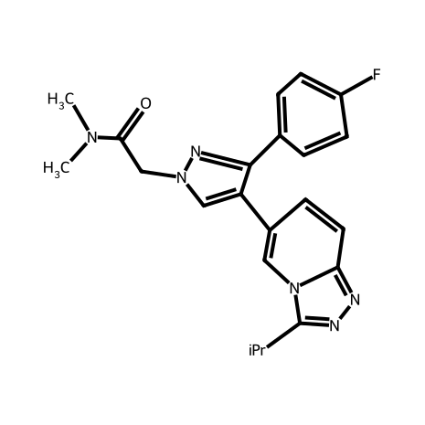 CC(C)c1nnc2ccc(-c3cn(CC(=O)N(C)C)nc3-c3ccc(F)cc3)cn12